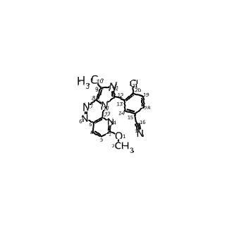 COc1ccc2nnc3c(C)nc(-c4cc(C#N)ccc4Cl)n3c2n1